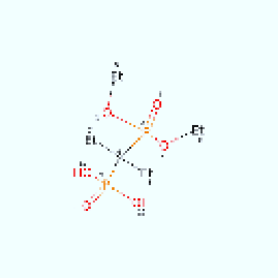 CCOP(=O)(OCC)C(CC)(CC)P(=O)(O)O